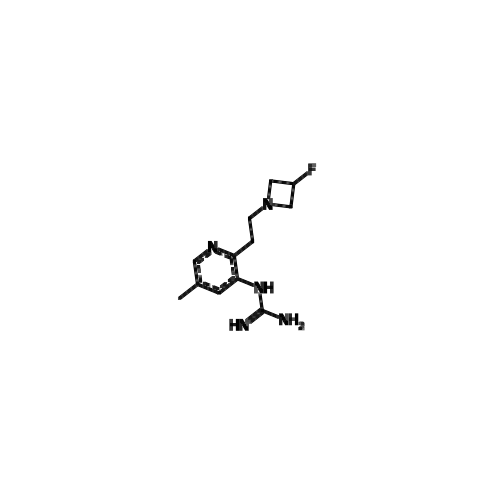 Cc1cnc(CCN2CC(F)C2)c(NC(=N)N)c1